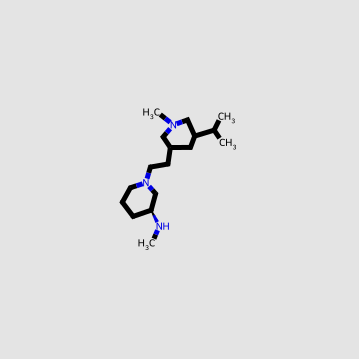 CN[C@H]1CCCN(CCC2CC(C(C)C)CN(C)C2)C1